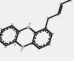 CC=CCc1cccc2c1Sc1ccccc1S2